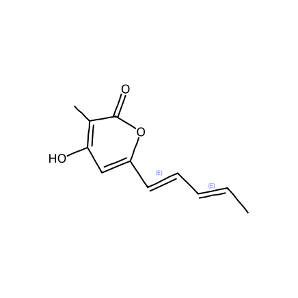 C/C=C/C=C/c1cc(O)c(C)c(=O)o1